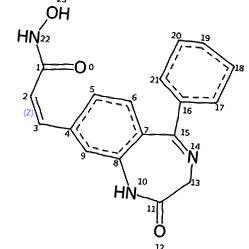 O=C(/C=C\c1ccc2c(c1)NC(=O)CN=C2c1ccccc1)NO